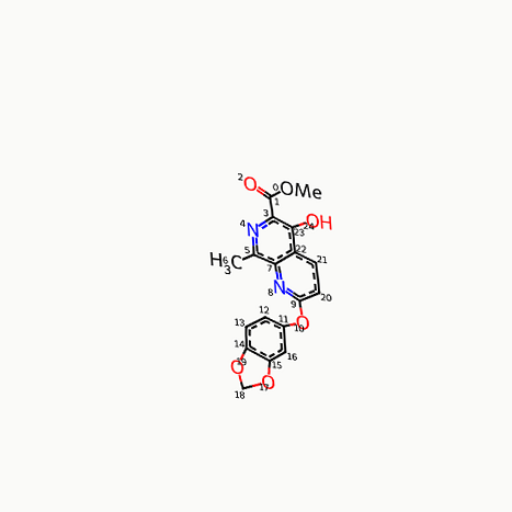 COC(=O)c1nc(C)c2nc(Oc3ccc4c(c3)OCO4)ccc2c1O